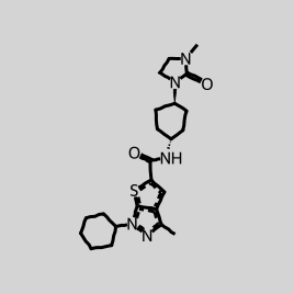 Cc1nn(C2CCCCC2)c2sc(C(=O)N[C@H]3CC[C@H](N4CCN(C)C4=O)CC3)cc12